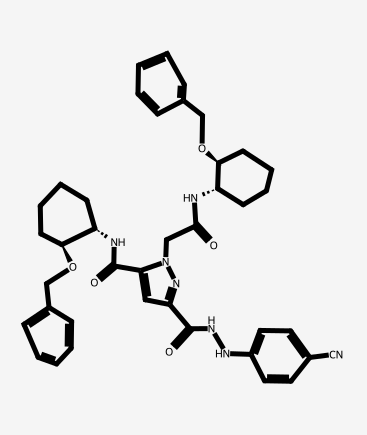 N#Cc1ccc(NNC(=O)c2cc(C(=O)N[C@H]3CCCC[C@@H]3OCc3ccccc3)n(CC(=O)N[C@H]3CCCC[C@@H]3OCc3ccccc3)n2)cc1